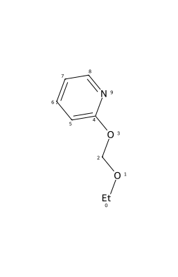 CCOCOc1c[c]ccn1